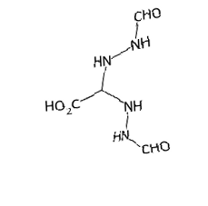 O=CNNC(NNC=O)C(=O)O